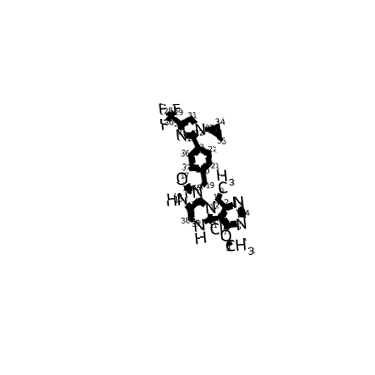 CCc1ncnc(OC)c1C1(Cl)N=c2c([nH]c(=O)n2Cc2ccc(-c3nc(C(F)(F)F)cn3C3CC3)cc2)=CN1